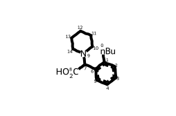 CCCCc1ccccc1C(C(=O)O)N1CCCCC1